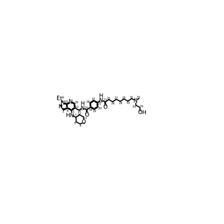 CCn1ncc2c(NC3CCOCC3)c(CNC(=O)c3ccc(NC(=O)CCCCCCCN(C)CCO)cc3)cnc21